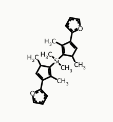 CC1=C([Si](C)(C)C2=C(C)C(c3ccco3)=CC2C)C(C)C=C1c1ccco1